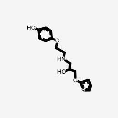 Oc1ccc(OCCNCC(O)COc2cccs2)cc1